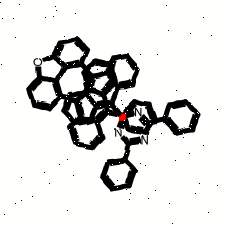 c1ccc(-c2nc(-c3ccccc3)nc(-c3c4ccccc4c(-c4cccc5oc6cccc(-c7c8ccccc8c(-c8ccccc8)c8ccccc78)c6c45)c4ccccc34)n2)cc1